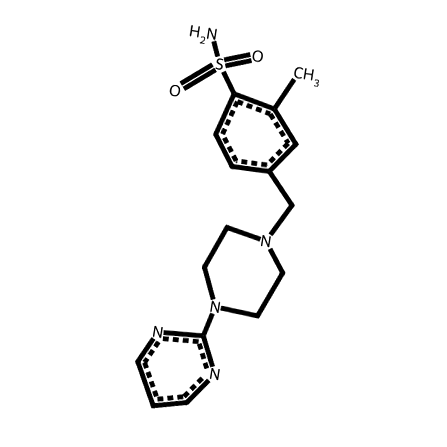 Cc1cc(CN2CCN(c3ncccn3)CC2)ccc1S(N)(=O)=O